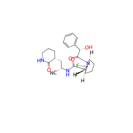 N#C[C@H](C[C@H]1CCCNC1=O)NC(=O)[C@H]1[C@@H]2CC[C@@H](CC2(F)F)N1C(=O)[C@@H](O)c1ccccc1